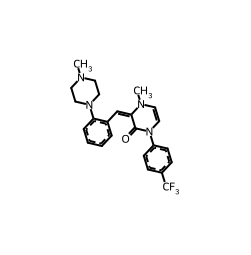 CN1CCN(c2ccccc2C=C2C(=O)N(c3ccc(C(F)(F)F)cc3)C=CN2C)CC1